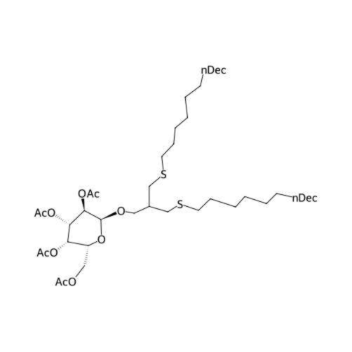 CCCCCCCCCCCCCCCCSCC(CO[C@H]1O[C@H](COC(C)=O)[C@H](OC(C)=O)[C@H](OC(C)=O)[C@H]1OC(C)=O)CSCCCCCCCCCCCCCCCC